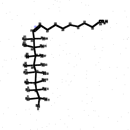 [2H]C([2H])([2H])C([2H])([2H])C([2H])([2H])C([2H])([2H])C([2H])([2H])C([2H])([2H])C([2H])([2H])C([2H])([2H])/C=C\CCCCCCCC(=O)O